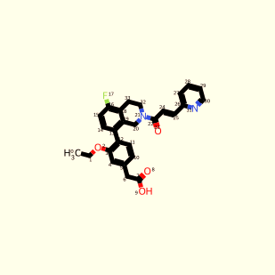 CCOc1cc(CC(=O)O)ccc1-c1ccc(F)c2c1CN(C(=O)C=Cc1ccccn1)CC2